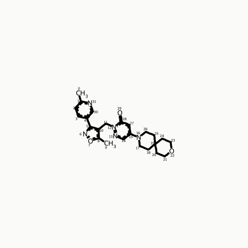 Cc1ccc(-c2noc(C)c2Cn2ncc(N3CCC4(CCOCC4)CC3)cc2=O)cn1